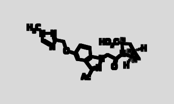 CC(=O)c1nn(CC(=O)N2[C@@H]3C[C@@H]3C[C@H]2C(=O)O)c2ccc(OCc3ncn(C)n3)cc12